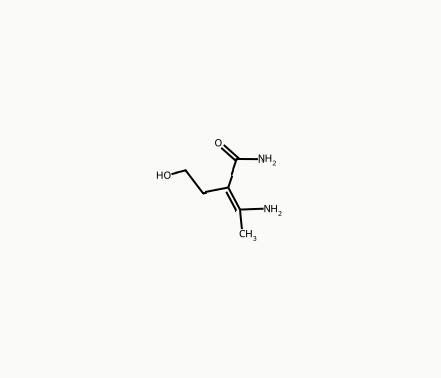 C/C(N)=C(\CCO)C(N)=O